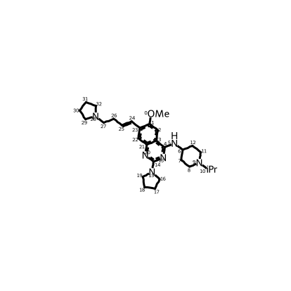 COc1cc2c(NC3CCN(C(C)C)CC3)nc(N3CCCC3)nc2cc1C=CCCN1CCCC1